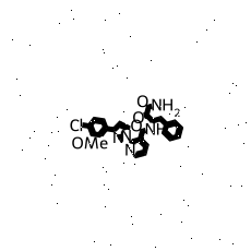 COc1cc(Cl)ccc1-c1ccn(-c2ncccc2C(=O)NC(Cc2ccccc2)C(=O)C(N)=O)n1